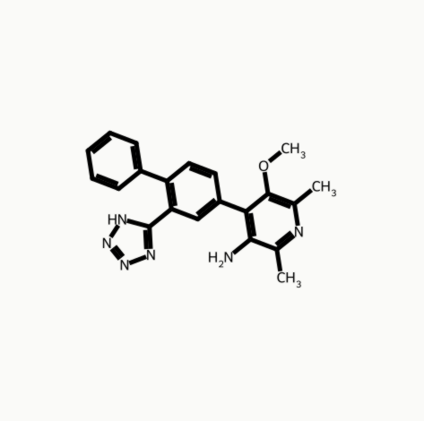 COc1c(C)nc(C)c(N)c1-c1ccc(-c2ccccc2)c(-c2nnn[nH]2)c1